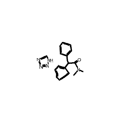 CN(C)C(=O)C(c1ccccc1)c1ccccc1.c1nnn[nH]1